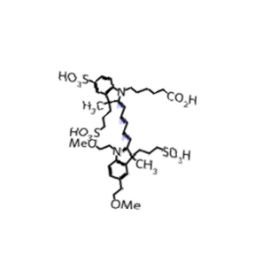 COCCc1ccc2c(c1)C(C)(CCCS(=O)(=O)O)C(/C=C/C=C/C=C1/N(CCCCCC(=O)O)c3ccc(S(=O)(=O)O)cc3C1(C)CCCS(=O)(=O)O)=[N+]2CCOC